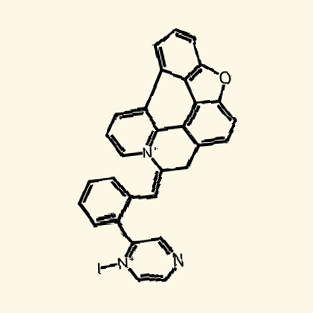 I[n+]1ccncc1-c1ccccc1/C=C1/Cc2ccc3oc4cccc5c6ccc[n+]1c6c2c3c45